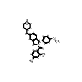 COc1ccc([C@H]2c3ccc(CC4CCNCC4)cc3CN2C(=O)c2ccc(O)cc2O)cc1